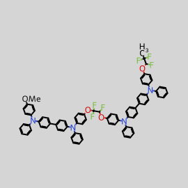 COc1ccc(N(c2ccccc2)c2ccc(-c3ccc(N(c4ccccc4)c4ccc(OC(F)(F)C(F)Oc5ccc(N(c6ccccc6)c6ccc(-c7ccc(N(c8ccccc8)c8ccc(OC(F)C(C)(F)F)cc8)cc7)cc6)cc5)cc4)cc3)cc2)cc1